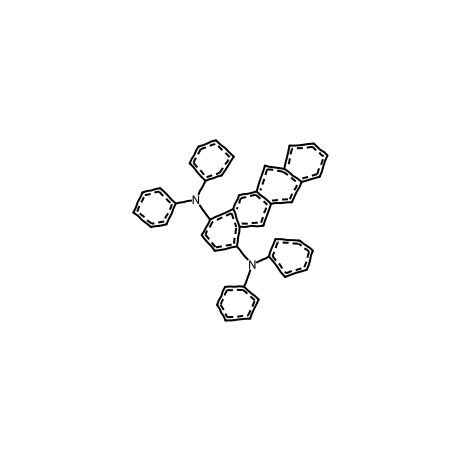 c1ccc(N(c2ccccc2)c2ccc(N(c3ccccc3)c3ccccc3)c3cc4cc5ccccc5cc4cc23)cc1